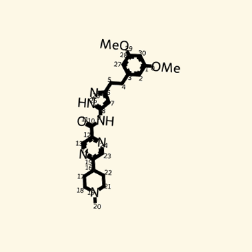 COc1cc(CCc2cc(NC(=O)c3cnc(C4CCN(C)CC4)cn3)[nH]n2)cc(OC)c1